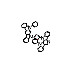 c1ccc(-n2c3ccccc3c3cc4c5ccccc5n(-c5ccc(-n6c7ccccc7c7ncc8c9ccccc9n(-c9ccccc9)c8c76)cc5)c4cc32)cc1